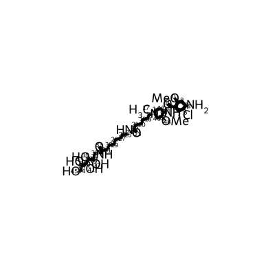 COc1cc(N)c(Cl)cc1C(=O)N[C@@H]1CCN(C(C)CCCCC(=O)NCCCCCCCC(=O)NC[C@H](O)[C@@H](O)[C@H](O)[C@H](O)CO)C[C@@H]1OC